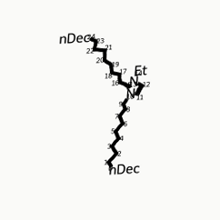 CCCCCCCCCCCCCCCCCCC[n+]1ccn(CC)c1CCCCCCCCCCCCCCCCCC